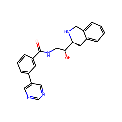 O=C(NC[C@@H](O)[C@@H]1Cc2ccccc2CN1)c1cccc(-c2cncnc2)c1